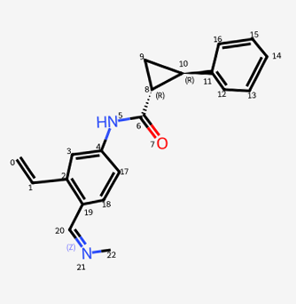 C=Cc1cc(NC(=O)[C@@H]2C[C@H]2c2ccccc2)ccc1/C=N\C